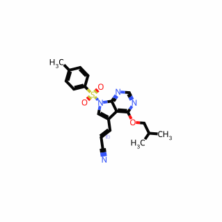 Cc1ccc(S(=O)(=O)n2cc(/C=C/C#N)c3c(OCC(C)C)ncnc32)cc1